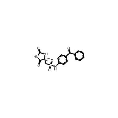 C[C@@]1(CS(=O)(=O)Nc2ccc(C(=O)c3ccccc3)cc2)NC(=O)NC1=O